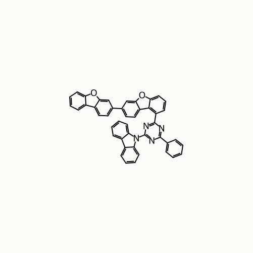 c1ccc(-c2nc(-c3cccc4oc5cc(-c6ccc7c(c6)oc6ccccc67)ccc5c34)nc(-n3c4ccccc4c4ccccc43)n2)cc1